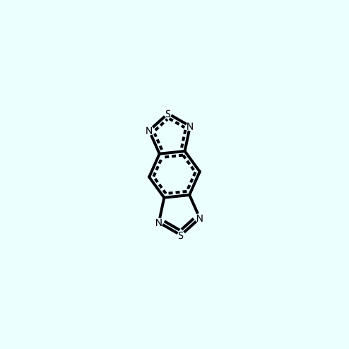 c1c2c(cc3nsnc13)N=S=N2